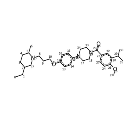 CCC1CCC(C)N(CCCOc2ccc(N3CCN(C(=O)c4ccc(OC)c(C(C)C)c4)CC3)cc2)C1